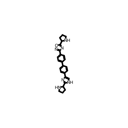 c1cc(-c2c[nH]c(C3CCCN3)n2)ccc1-c1ccc(-c2noc(C3CCCN3)n2)cc1